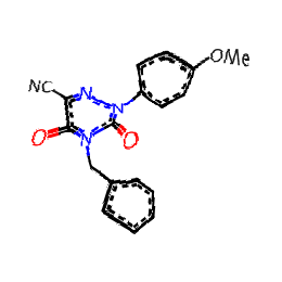 COc1ccc(-n2nc(C#N)c(=O)n(Cc3ccccc3)c2=O)cc1